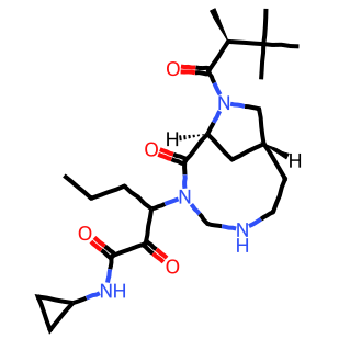 CCCC(C(=O)C(=O)NC1CC1)N1CNCC[C@@H]2C[C@@H](C1=O)N(C(=O)[C@@H](C)C(C)(C)C)C2